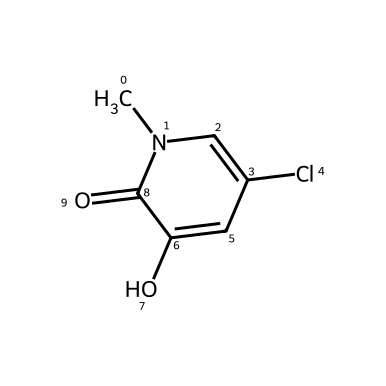 Cn1cc(Cl)cc(O)c1=O